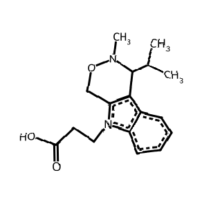 CC(C)C1c2c(n(CCC(=O)O)c3ccccc23)CON1C